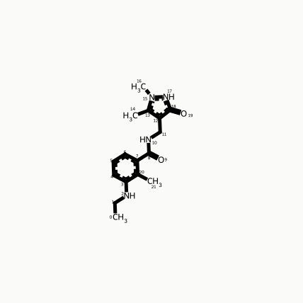 CCNc1cccc(C(=O)NCc2c(C)n(C)[nH]c2=O)c1C